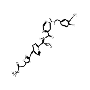 COC(=O)Cc1nc(-c2ccc([C@H](C)NC(=O)c3cc(C(=O)NCc4ccc(F)c(C)c4)ncn3)cc2)no1